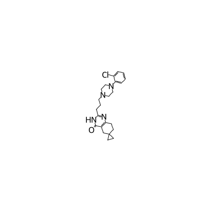 O=c1[nH]c(CCCN2CCN(c3ccccc3Cl)CC2)nc2c1CC1(CC2)CC1